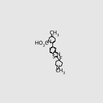 C[C@H]1CC=C(c2ccc3sc(C4(F)CCN(C)CC4)nc3c2)N(C(=O)O)C1